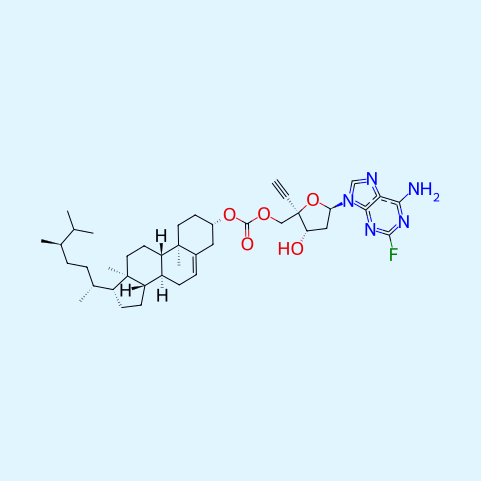 C#C[C@]1(COC(=O)O[C@H]2CC[C@@]3(C)C(=CC[C@H]4[C@@H]5CC[C@H]([C@H](C)CC[C@@H](C)C(C)C)[C@@]5(C)CC[C@@H]43)C2)O[C@@H](n2cnc3c(N)nc(F)nc32)C[C@@H]1O